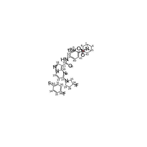 CC(C)(C)OC(=O)N1C2CC1CN(c1ccc(NC(=O)c3cnn4ccc(N5C[C@@H](F)C[C@@H]5c5cc(F)ccc5F)nc34)cc1)C2